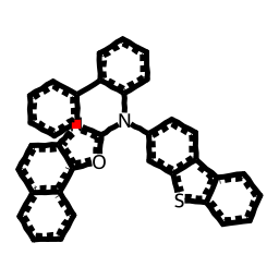 c1ccc(-c2ccccc2N(c2ccc3c(c2)sc2ccccc23)c2nc3ccc4ccccc4c3o2)cc1